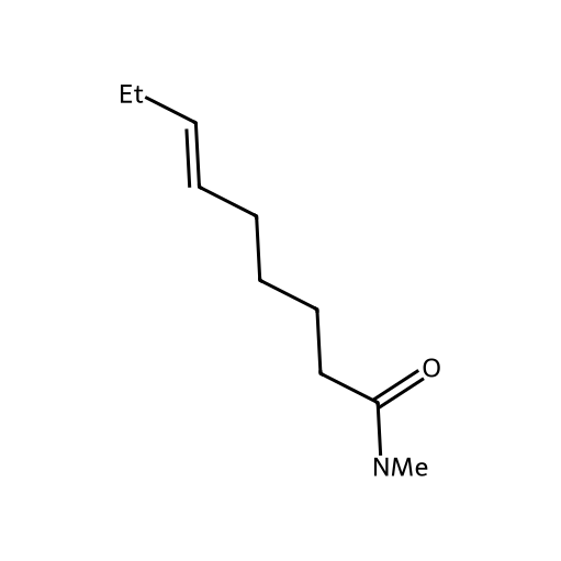 CCC=CCCCCC(=O)NC